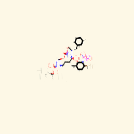 CC(C)(C)OC(=O)N1CC[C@H]([C@H](Cc2ccc(Br)c([N+](=O)[O-])c2)C(=O)N2C(=O)OC[C@@H]2Cc2ccccc2)C1